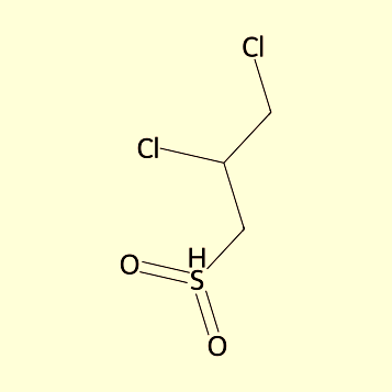 O=[SH](=O)CC(Cl)CCl